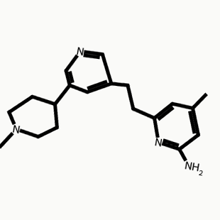 Cc1cc(N)nc(CCc2cncc(C3CCN(C)CC3)c2)c1